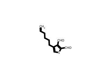 C=CCCCCc1csc(C=O)c1C=O